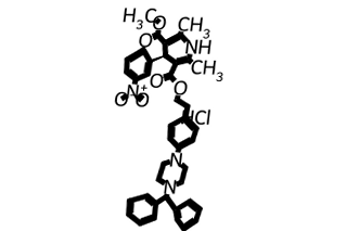 COC(=O)C1=C(C)NC(C)=C(C(=O)OCCc2ccc(N3CCN(C(c4ccccc4)c4ccccc4)CC3)cc2)[C@H]1c1cccc([N+](=O)[O-])c1.Cl